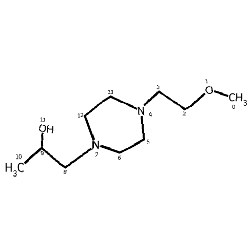 COCCN1CCN(CC(C)O)CC1